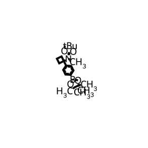 CN(C(=O)OC(C)(C)C)C1(c2ccc(B3OC(C)(C)C(C)(C)O3)cc2)CCC1